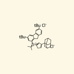 C[C](C)=[Zr+2]([C]1=CC(C23CC4CC(CC(C4)C2)C3)=CC1)[c]1cc(C(C)(C)C)cc2c1Cc1ccc(C(C)(C)C)cc1-2.[Cl-].[Cl-]